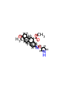 COC(=O)[C@H]1C[C@@H]2[C@H](CC[C@]3(C)C(=O)CC[C@@H]23)[C@@]2(C)CC/C(=N/O[C@@H]3CCNC3)CC12